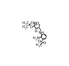 CC(C)(C)OC(=O)NC(C=O)CNc1cccc(S(C)(=O)=O)c1N